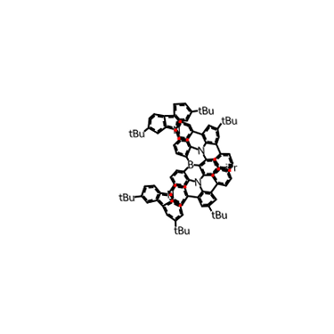 CC(C)c1cc2c3c(c1)N(c1c(-c4ccccc4)cc(C(C)(C)C)cc1-c1ccccc1)c1cc(-n4c5cc(C(C)(C)C)ccc5c5ccc(C(C)(C)C)cc54)ccc1B3c1ccc(-n3c4ccc(C(C)(C)C)cc4c4cc(C(C)(C)C)ccc43)cc1N2c1c(-c2ccccc2)cc(C(C)(C)C)cc1-c1ccccc1